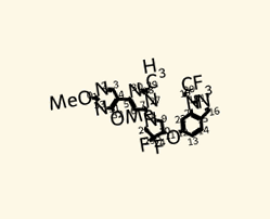 COc1ncc(-c2cc(N3CC(Oc4ccc5cnn(CC(F)(F)F)c5c4)C(F)(F)C3)nc(C)n2)c(OC)n1